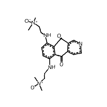 C[N+](C)([O-])CCNc1ccc(NCC[N+](C)(C)[O-])c2c1C(=O)c1ccncc1C2=O